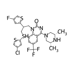 C[C@@H]1CN(c2nc(=O)n3c4c(cc(C(F)(F)F)cc24)[SH](c2cc(Cl)cs2)CC(c2cc(F)cs2)C3)C[C@H](C)N1